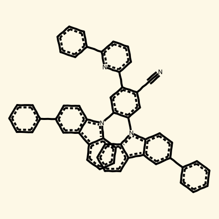 N#Cc1cc(-n2c3ccccc3c3cc(-c4ccccc4)ccc32)c(-n2c3ccccc3c3cc(-c4ccccc4)ccc32)cc1-c1cccc(-c2ccccc2)n1